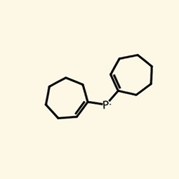 C1=C([P]C2=CCCCCC2)CCCCC1